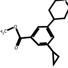 COC(=O)c1cc(C2CCNCC2)cc(C2CC2)c1